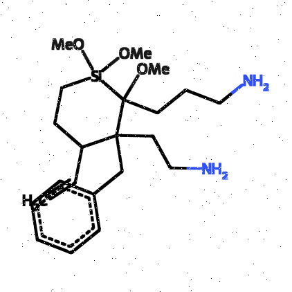 C=CC1CC[Si](OC)(OC)C(CCCN)(OC)C1(CCN)Cc1ccccc1